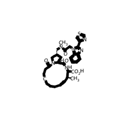 C[C@H]1/C=C\CCCCCCC(=O)N2C[C@H](CN(C)C(=O)Cn3c(-c4cscn4)nc4ccccc43)C[C@H]2C(=O)NC1C(=O)O